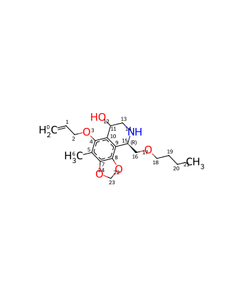 C=CCOc1c(C)c2c(c3c1C(O)CN[C@H]3COCCCC)OCO2